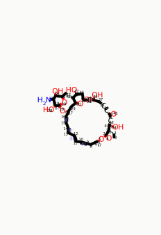 CC[C@@H]1C(=O)O[C@H](C)C/C=C/C=C/C=C/C=C/[C@H](OC2OC(C)C(O)C(N)C2O)CC2O[C@](O)(C[C@@H](O)CCCC(=O)C[C@H]1O)C[C@H](O)[C@H]2C